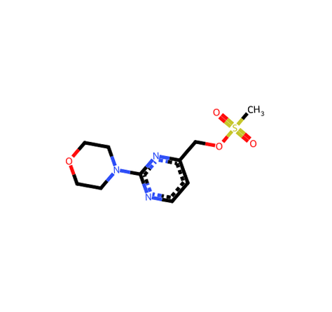 CS(=O)(=O)OCc1ccnc(N2CCOCC2)n1